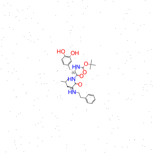 CC(C)C[C@H](NCCc1ccccc1)C(=O)NC(=O)[C@H](Cc1ccc(O)c(O)c1)NC(=O)OC(C)(C)C